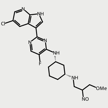 COCC(CN[C@@H]1CCC[C@H](Nc2nc(-c3c[nH]c4ncc(Cl)cc34)ncc2F)C1)N=O